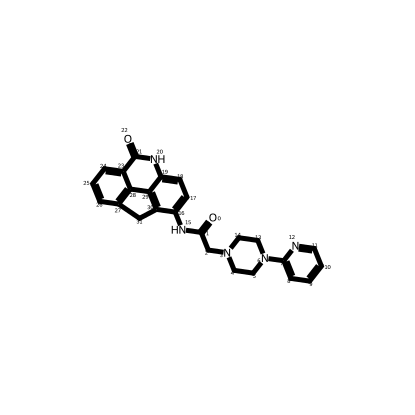 O=C(CN1CCN(c2ccccn2)CC1)Nc1ccc2[nH]c(=O)c3cccc4c3c2c1C4